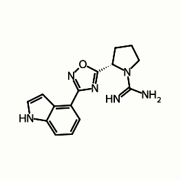 N=C(N)N1CCC[C@H]1c1nc(-c2cccc3[nH]ccc23)no1